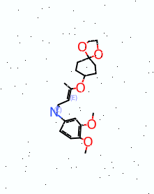 COc1ccc(/N=C\C=C(/C)OC2CCC3(CC2)OCCO3)cc1OC